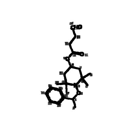 CC(ON1C(C)(C)CC(OC(=O)CCC=O)CC1(C)C)c1ccccc1